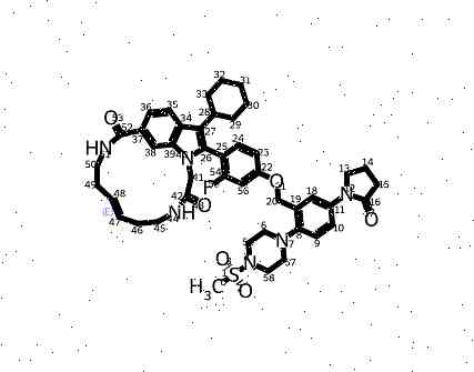 CS(=O)(=O)N1CCN(c2ccc(N3CCCC3=O)cc2COc2ccc(-c3c(C4CCCCC4)c4ccc5cc4n3CC(=O)NCC/C=C/CCNC5=O)c(F)c2)CC1